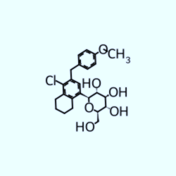 COc1ccc(Cc2cc([C@@H]3O[C@H](CO)[C@@H](O)[C@H](O)[C@H]3O)c3c(c2Cl)CCCC3)cc1